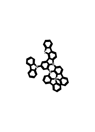 c1ccc2c(c1)sc1c(N3c4cc(-n5c6ccccc6c6ccccc65)cc5c4B(c4ccc6c(sc7ccccc76)c4-5)c4ccc5c(sc6ccccc65)c43)cccc12